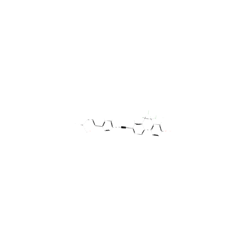 CC1CC=C(c2ccc(C#Cc3ccc4c(c3F)C(F)(F)C(F)(F)c3c-4ccc(O)c3F)c(F)c2F)OC1